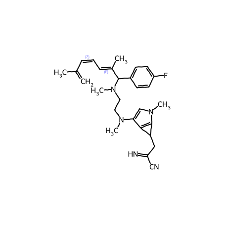 C=C(C)/C=C\C=C(/C)C(c1ccc(F)cc1)N(C)CCN(C)c1cn(C)c2c1C2CC(=N)C#N